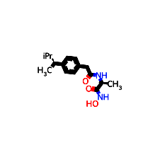 CC(C)[C@@H](C)c1ccc(CC(=O)N[C@@H](C)C(=O)NO)cc1